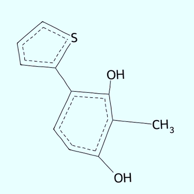 Cc1c(O)ccc(-c2cccs2)c1O